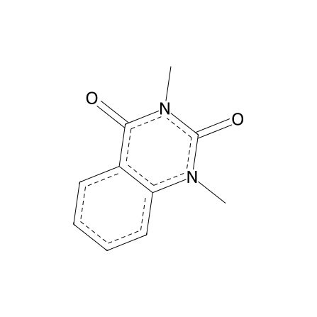 Cn1c(=O)c2ccccc2n(C)c1=O